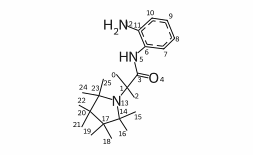 CC(C)(C(=O)Nc1ccccc1N)N1C(C)(C)C(C)(C)C(C)(C)C1(C)C